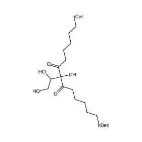 CCCCCCCCCCCCCCCC(=O)C(O)(C(=O)CCCCCCCCCCCCCCC)C(O)CO